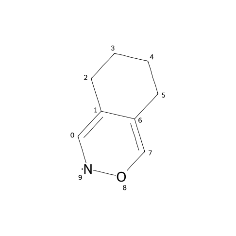 C1=C2CCCCC2=CO[N]1